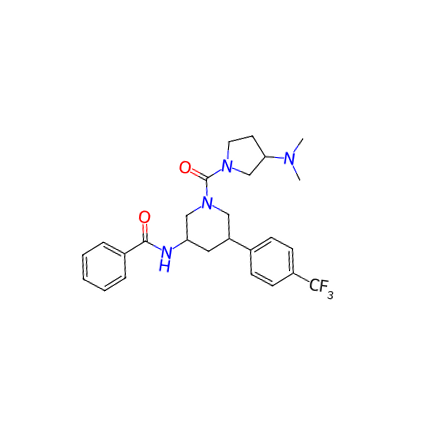 CN(C)C1CCN(C(=O)N2CC(NC(=O)c3ccccc3)CC(c3ccc(C(F)(F)F)cc3)C2)C1